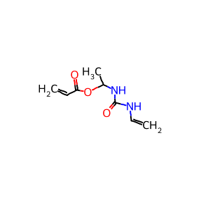 C=CNC(=O)NC(C)OC(=O)C=C